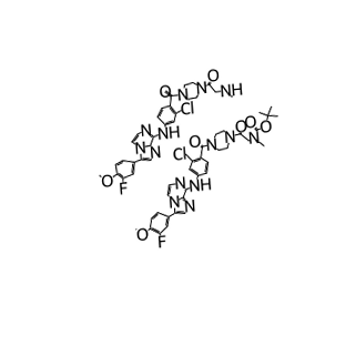 CNCC(=O)N1CCN(C(=O)c2ccc(Nc3nccn4c(-c5ccc(OC)c(F)c5)cnc34)cc2Cl)CC1.COc1ccc(-c2cnc3c(Nc4ccc(C(=O)N5CCN(C(=O)CN(C)C(=O)OC(C)(C)C)CC5)c(Cl)c4)nccn23)cc1F